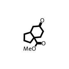 COC(=O)C12CCCC1CC(=O)CC2